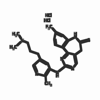 Cc1ncc(CCCN(C)C)cc1Nc1ncc2c(n1)-c1ccc(C(F)(F)F)cc1NC(=S)C2.Cl.Cl